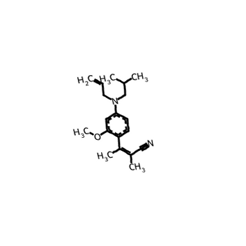 C=CCN(CC(C)C)c1ccc(C(C)=C(C)C#N)c(OC)c1